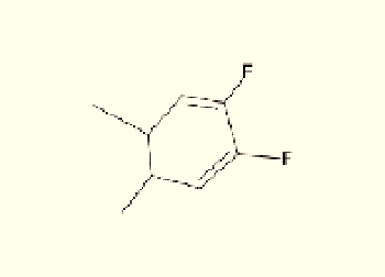 CC1C=C(F)C(F)=CC1C